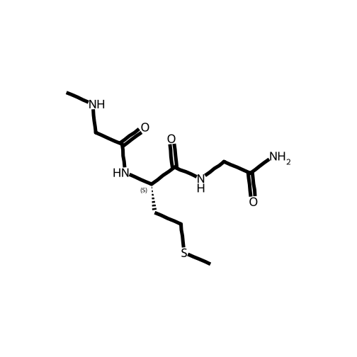 CNCC(=O)N[C@@H](CCSC)C(=O)NCC(N)=O